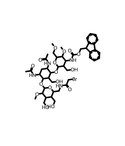 COCC1OC(OC2C(NC(C)=O)CC(NC(C)=O)C(OC3OC(CNC(=O)CBr)C(CO)C(CO)C3OC)C2CO)C(CO)C(NC(=O)OCC2c3ccccc3-c3ccccc32)C1OC